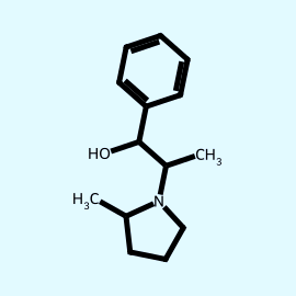 CC1CCCN1C(C)C(O)c1ccccc1